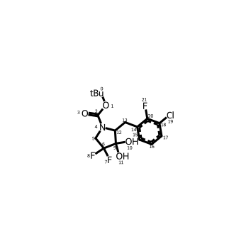 CC(C)(C)OC(=O)N1CC(F)(F)C(O)(O)C1Cc1cccc(Cl)c1F